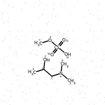 CC(O)CN(C)C.COS(=O)(=O)O